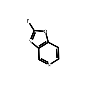 Fc1nc2cnccc2o1